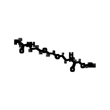 CCC(C)OCC(=O)NCCOCCOCCCNC(=O)C(C)C